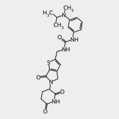 CC(C)N(C)c1cccc(NC(=O)NCc2cc3c(s2)C(=O)N(C2CCC(=O)NC2=O)C3)c1